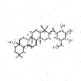 CC1(C)CC[C@]2(C(=O)O)CC[C@]3(C)C(=CCC4[C@@]5(C)CC[C@H](O[C@@H]6O[C@H](CO)[C@@H](O)[C@H](O)[C@H]6O)C(C)(C)C5CC[C@]43C)C2C1